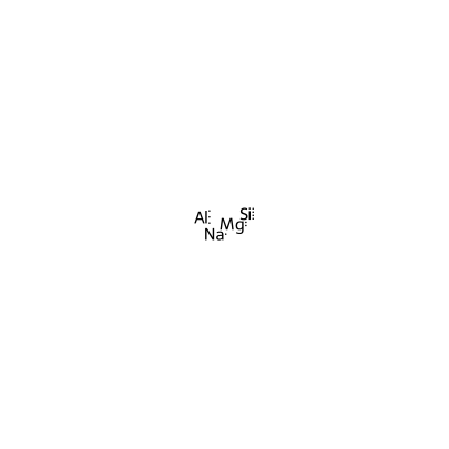 [Al].[Mg].[Na].[Si]